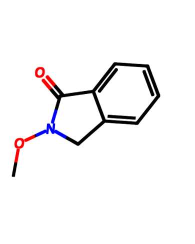 CON1Cc2ccccc2C1=O